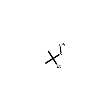 CCCSC(C)(C)CC